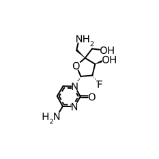 NC[C@]1(CO)O[C@@H](n2ccc(N)nc2=O)[C@@H](F)[C@@H]1O